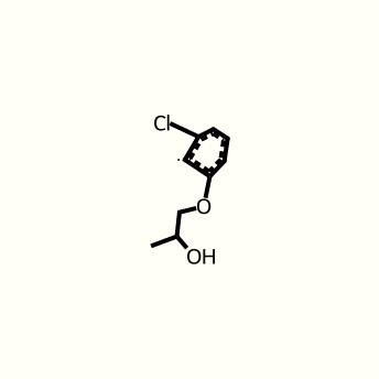 CC(O)COc1[c]c(Cl)ccc1